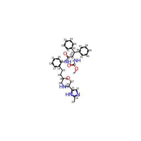 COC(=O)N[C@H](C(=O)Nc1ccccc1CC[C@@H]1CN[C@H](c2cnc(C)[nH]2)CO1)C(c1ccccc1)c1ccccc1